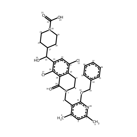 Cc1cc(C)c(CN2CCc3c(Cl)cc(C(O)C4CCN(C(=O)O)CC4)c(Cl)c3C2=O)c(OCc2ccccc2)n1